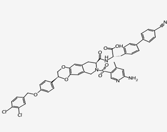 Cc1cc(N)ncc1S(=O)(=O)N1Cc2cc3c(cc2C[C@H]1C(=O)N[C@@H](Cc1ccc(-c2ccc(C#N)cc2)cc1)C(=O)O)OC[C@H](c1ccc(OCc2ccc(Cl)c(Cl)c2)cc1)O3